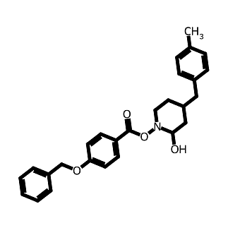 Cc1ccc(CC2CCN(OC(=O)c3ccc(OCc4ccccc4)cc3)C(O)C2)cc1